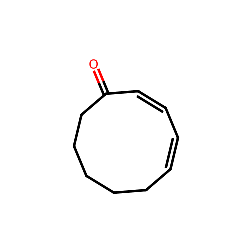 O=C1C=CC=CCCCCC1